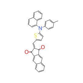 Cc1ccc(N(c2ccc(C=C3C(=O)c4cc5ccccc5cc4C3=O)s2)c2cccc3ccccc23)cc1